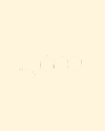 CNc1ccc(OC2CCOCC2)cc1